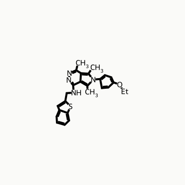 CCOc1ccc(-n2c(C)c3c(C)nnc(NCc4cc5ccccc5s4)c3c2C)cc1